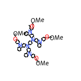 C=C/C=C(\C=C/OCCOC)n1c2ccccc2c2cc(N(c3ccc(N(c4ccc5c(c4)c4ccccc4n5-c4ccc(OCCOC)cc4)c4ccc5c(c4)c4ccccc4n5-c4ccc(OCCOC)cc4)cc3)c3ccc4c(c3)c3ccccc3n4-c3ccc(OCCOC)cc3)ccc21